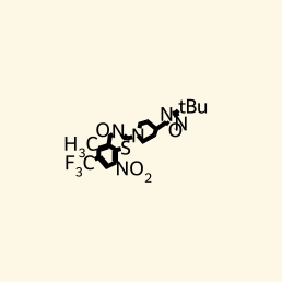 Cc1c(C(F)(F)F)cc([N+](=O)[O-])c2sc(N3CCC(c4nc(C(C)(C)C)no4)CC3)nc(=O)c12